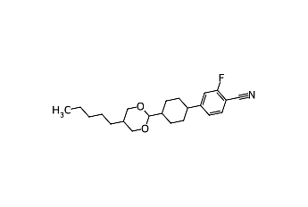 CCCCCC1COC(C2CCC(c3ccc(C#N)c(F)c3)CC2)OC1